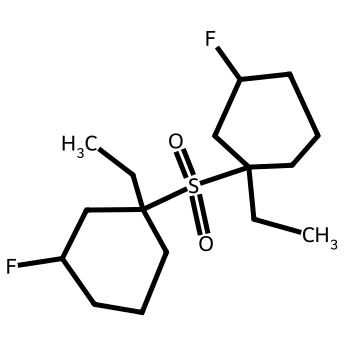 CCC1(S(=O)(=O)C2(CC)CCCC(F)C2)CCCC(F)C1